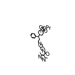 CCCS(=O)(=O)N1CCC(C(CCN2CC3CN(C(=O)c4c(C)ncnc4C)CC3C2)c2ccccc2)CC1